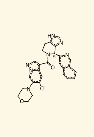 O=C(c1cnn2cc(N3CCOCC3)c(Cl)cc12)N1CCc2[nH]cnc2[C@H]1c1cc2ccccc2cn1